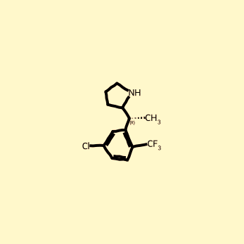 C[C@H](c1cc(Cl)ccc1C(F)(F)F)C1CCCN1